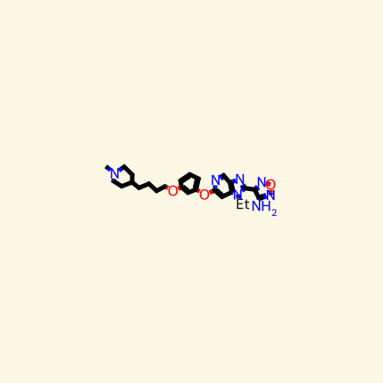 CCn1c(-c2nonc2N)nc2cnc(Oc3cccc(OCCCCC4CCN(C)CC4)c3)cc21